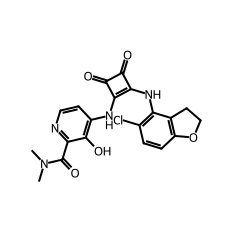 CN(C)C(=O)c1nccc(Nc2c(Nc3c(Cl)ccc4c3CCO4)c(=O)c2=O)c1O